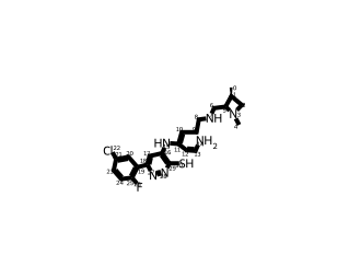 C[C@H]1CN(C)C1CNCC/C=C(\C=C/N)Nc1cc(-c2cc(Cl)ccc2F)nnc1S